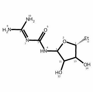 CC[C@H]1OC(NC(=O)N=C(N)N)C(O)C1O